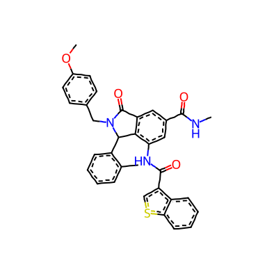 CNC(=O)c1cc(NC(=O)c2csc3ccccc23)c2c(c1)C(=O)N(Cc1ccc(OC)cc1)C2c1ccccc1C